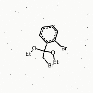 CCOC(CBr)(OCC)c1cc[c]cc1Br